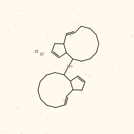 C1=CC2C(/C=C/CCCCCCC[CH]2[Zr+2][CH]2CCCCCCC/C=C/C3CC=CC32)C1.[Cl-].[Cl-]